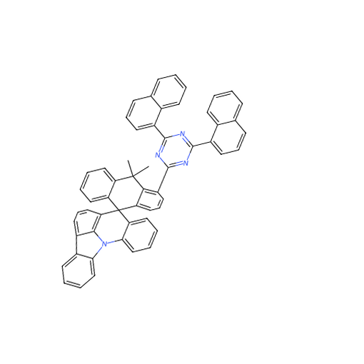 CC1(C)c2ccccc2C2(c3ccccc3-n3c4ccccc4c4cccc2c43)c2cccc(-c3nc(-c4cccc5ccccc45)nc(-c4cccc5ccccc45)n3)c21